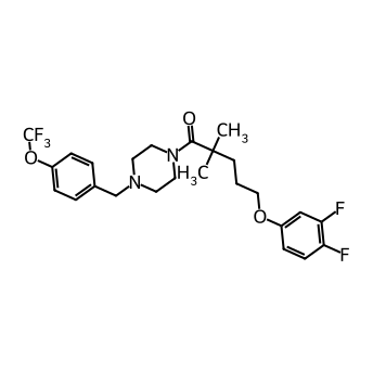 CC(C)(CCCOc1ccc(F)c(F)c1)C(=O)N1CCN(Cc2ccc(OC(F)(F)F)cc2)CC1